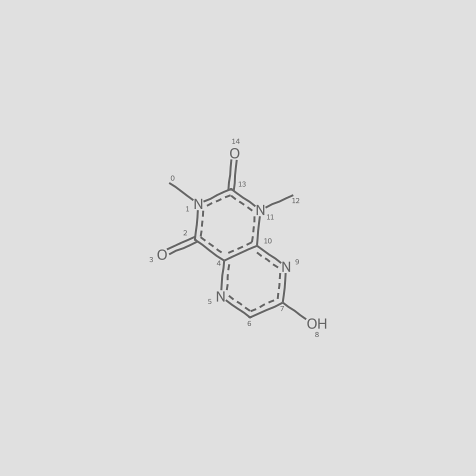 Cn1c(=O)c2ncc(O)nc2n(C)c1=O